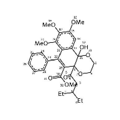 CCC(CC)CC(=O)C12OCCOC1(O)c1cc(OC)c(OC)c(OC)c1C(c1ccccc1)=C2C(=O)OC